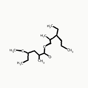 CCCC(CC)C(C)COC([O])C(C)CC(CC)CC